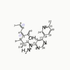 C=C(O)/C(=C\C=C/C)C(C)[C@H](C)CN(N)c1cc(-c2ccc(C)nc2)ncn1